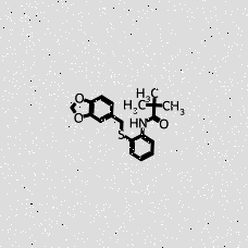 CC(C)(C)C(=O)Nc1ccccc1SCc1ccc2c(c1)OCO2